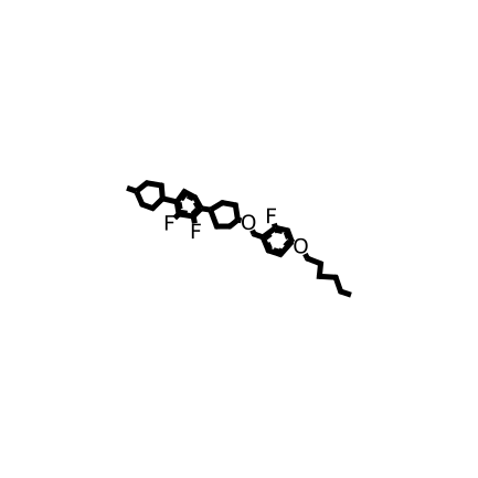 CCCCCCOc1ccc(COC2CCC(c3ccc(C4CCC(C)CC4)c(F)c3F)CC2)c(F)c1